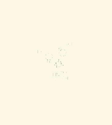 COc1ccc(-n2nc(C(=O)NC3(C)CC3)nc2-c2ccc(C)cn2)cn1